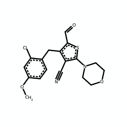 COc1ccc(Cc2c(C=O)sc(N3CCOCC3)c2C#N)c(Cl)c1